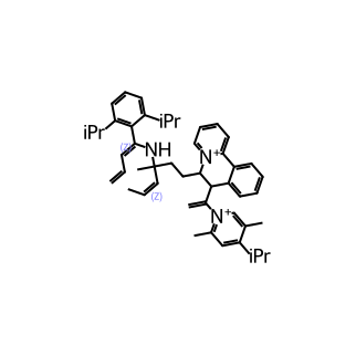 C=C/C=C(\NC(C)(/C=C\C)CCC1C(C(=C)[n+]2cc(C)c(C(C)C)cc2C)c2ccccc2-c2cccc[n+]21)c1c(C(C)C)cccc1C(C)C